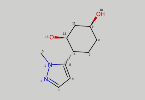 Cn1nccc1[C@H]1CC[C@H](O)C[C@@H]1[O]